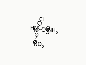 NS(=O)(=O)c1ccc(-c2c(COCCCO[N+](=O)[O-])n[nH]c2-c2ccc(Cl)cc2)cc1